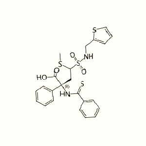 CSC(C[C@](NC(=S)c1ccccc1)(C(=O)O)c1ccccc1)S(=O)(=O)NCc1cccs1